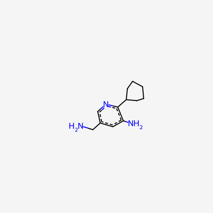 NCc1cnc(C2CCCCC2)c(N)c1